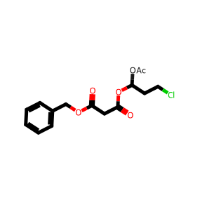 CC(=O)OC(CCCl)OC(=O)CC(=O)OCc1ccccc1